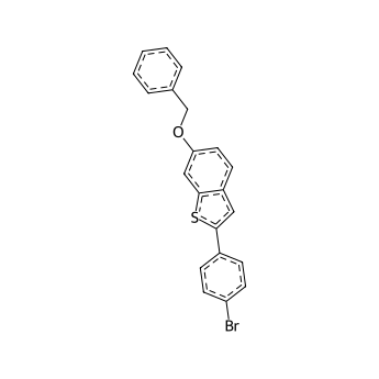 Brc1ccc(-c2cc3ccc(OCc4ccccc4)cc3s2)cc1